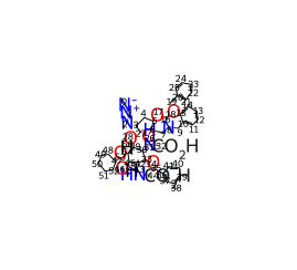 [N-]=[N+]=N[C@@H]1CC[C@@H](CN(Cc2ccccc2)C(=O)OCc2ccccc2)O[C@@H]1O[C@@H]1[C@@H](NC(=O)O)[C@H](OCc2ccccc2)[C@@H](NC(=O)O)[C@@H]2OC3(CCCCC3)O[C@@H]12